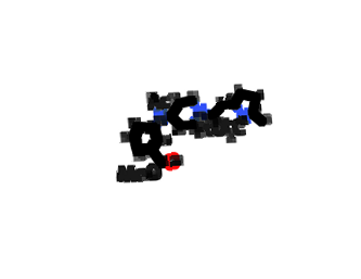 CCOC(=O)N1C(C)CCC1CC(CC)N1CCC(N(C(C)=O)c2cccc(C(=O)OC)c2)CC1